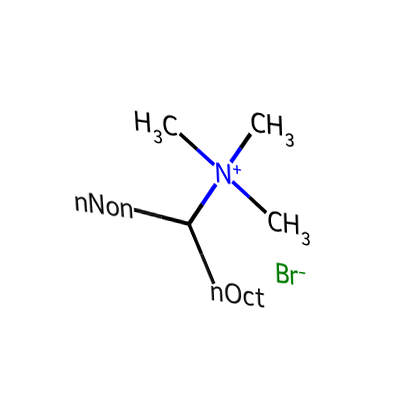 CCCCCCCCCC(CCCCCCCC)[N+](C)(C)C.[Br-]